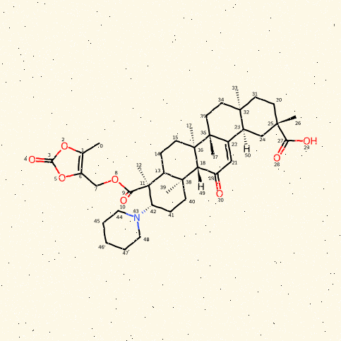 Cc1oc(=O)oc1COC(=O)[C@@]1(C)C2CC[C@]3(C)[C@H](C(=O)C=C4[C@@H]5C[C@@](C)(C(=O)O)CC[C@]5(C)CC[C@]43C)[C@@]2(C)CC[C@@H]1N1CCCCC1